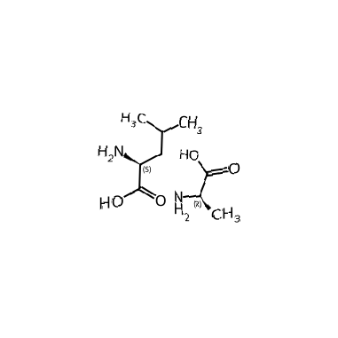 CC(C)C[C@H](N)C(=O)O.C[C@@H](N)C(=O)O